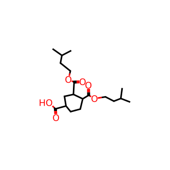 CC(C)CCOC(=O)C1CCC(C(=O)O)CC1C(=O)OCCC(C)C